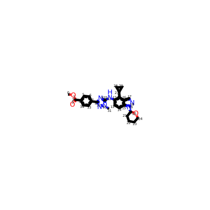 COC(=O)c1ccc(-c2nc(Nc3ccc4c(cnn4C4CCCCO4)c3C3CC3)n(C)n2)cc1